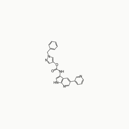 O=C(Nc1c[nH]c2ncc(-c3cccnc3)cc12)Oc1cnn(Cc2ccccc2)c1